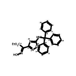 CCOC(=O)/C(=N\O)c1nsc(NC(c2ccccc2)(c2ccccc2)c2ccccc2)n1